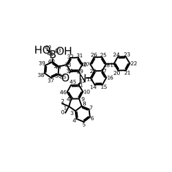 CC1(C)c2ccccc2-c2cc(N(c3cccc4c(-c5ccccc5)cccc34)c3cccc4c3oc3cccc(B(O)O)c34)ccc21